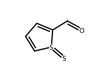 O=[C]C1=CC=CS1=S